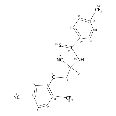 CC(C#N)(COc1cc(C#N)ccc1C(F)(F)F)NC(=S)c1ccc(C(F)(F)F)cc1